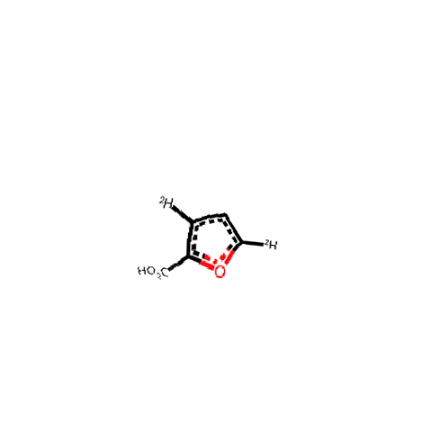 [2H]c1cc([2H])c(C(=O)O)o1